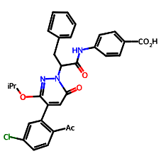 CC(=O)c1ccc(Cl)cc1-c1cc(=O)n(C(Cc2ccccc2)C(=O)Nc2ccc(C(=O)O)cc2)nc1OC(C)C